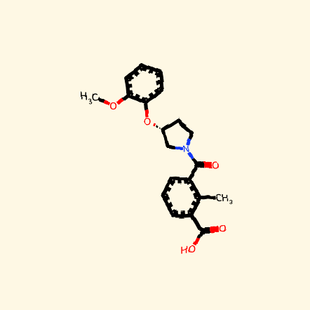 COc1ccccc1O[C@@H]1CCN(C(=O)c2cccc(C(=O)O)c2C)C1